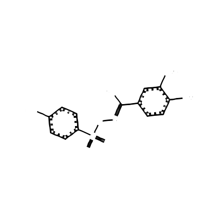 COc1ccc(C(C#N)=NOS(=O)(=O)c2ccc(C)cc2)cc1OC